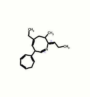 CC/C=C1\N=C/C(C2=CCC=CC=C2)C=C(CC)CC1C